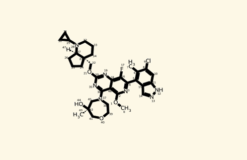 COc1nc(-c2c(C)c(Cl)cc3[nH]ncc23)c(F)c2nc(OC[C@]34CCC[C@H]3N(C3CC3)CCC4)nc(N3CCOC[C@@](C)(O)C3)c12